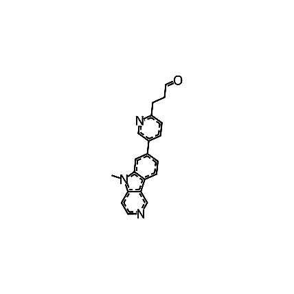 Cn1c2ccncc2c2ccc(-c3ccc(CCC=O)nc3)cc21